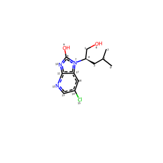 CC(C)C[C@H](CO)n1c(O)nc2ncc(Cl)cc21